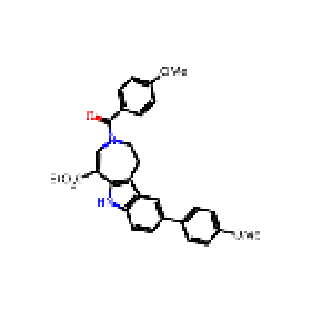 CCOC(=O)C1=CN(C(=O)c2ccc(OC)cc2)CCc2c1[nH]c1ccc(-c3ccc(OC)cc3)cc21